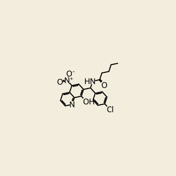 CCCCC(=O)NC(c1ccc(Cl)cc1)c1cc([N+](=O)[O-])c2cccnc2c1O